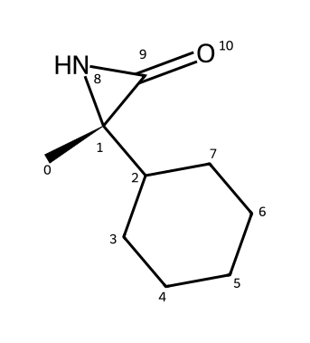 C[C@@]1(C2CCCCC2)NC1=O